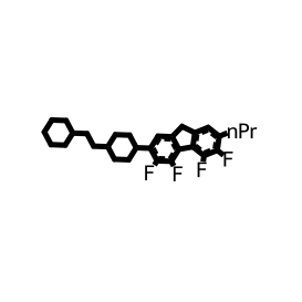 CCCc1cc2c(c(F)c1F)-c1c(cc(C3CCC(CCC4CCCCC4)CC3)c(F)c1F)C2